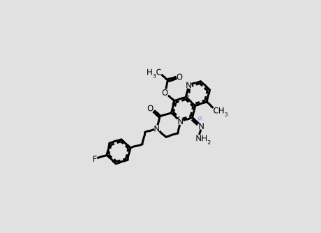 CC(=O)Oc1c2n(/c(=N\N)c3c(C)ccnc13)CCN(CCc1ccc(F)cc1)C2=O